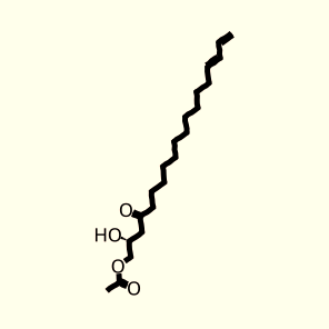 C=C/C=C/CCCCCCCCCCCC(=O)C[C@@H](O)COC(C)=O